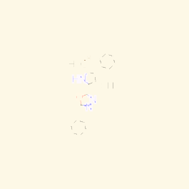 Cc1[nH]c(-c2nnc(Cc3ccccc3)o2)c(C)c1-c1cc[c]cc1Br